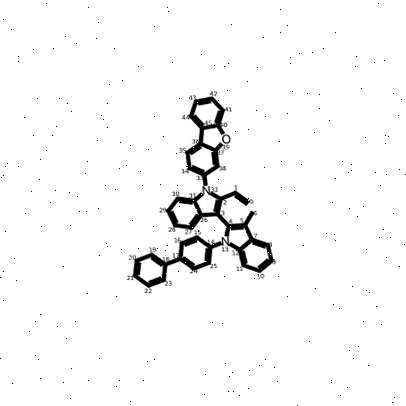 C=Cc1c(-c2c(C)c3ccccc3n2-c2ccc(-c3ccccc3)cc2)c2ccccc2n1-c1ccc2c(c1)oc1ccccc12